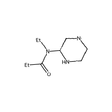 CCC(=O)N(CC)C1C[N]CCN1